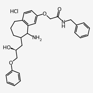 Cl.NC1c2cc(OCC(=O)NCc3ccccc3)ccc2CCCC1C[C@H](O)COc1ccccc1